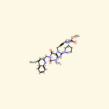 CC#CCn1c(N2CCC[C@@H](NC(=O)OC(C)(C)C)C2)nc2c1c(=O)n(Cc1cc(OC)c3ccccc3n1)c(=O)n2C